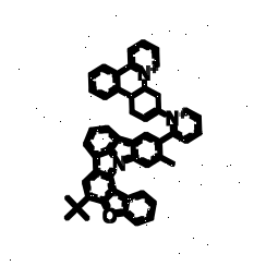 Cc1cc2c(cc1-c1cccc[n+]1C1=CCC3c4ccccc4-c4cccc[n+]4C3C1)c1cccc3c4cc(C(C)(C)C)c5oc6ccccc6c5c4n2c13